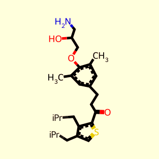 Cc1cc(CCC(=O)c2scc(CC(C)C)c2CC(C)C)cc(C)c1OCC(O)CN